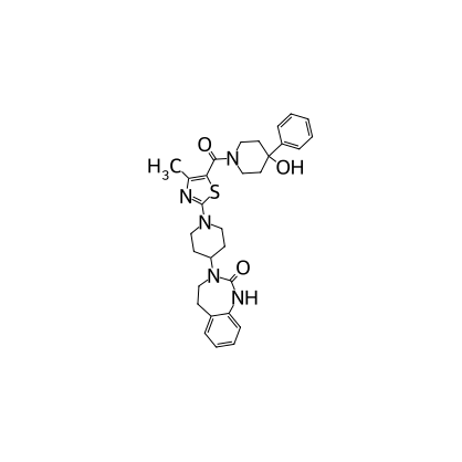 Cc1nc(N2CCC(N3CCc4ccccc4NC3=O)CC2)sc1C(=O)N1CCC(O)(c2ccccc2)CC1